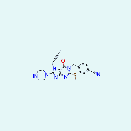 CC#CCn1c(N2CCNCC2)nc2nc(SC)n(Cc3ccc(C#N)cc3)c(=O)c21